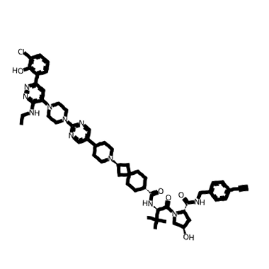 C#Cc1ccc(CNC(=O)[C@@H]2C[C@@H](O)CN2C(=O)[C@@H](NC(=O)[C@H]2CCC3(CC2)C[C@H](N2CCC(c4cnc(N5CCN(c6cc(-c7cccc(Cl)c7O)nnc6NCC)CC5)nc4)CC2)C3)C(C)(C)C)cc1